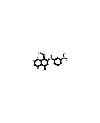 C=c1cc(Nc2cccc(N(C)C)c2)/c(=C/CC)c2ccccc12